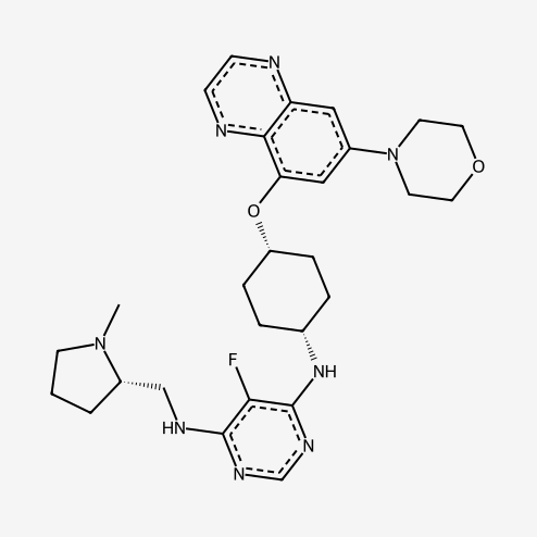 CN1CCC[C@H]1CNc1ncnc(N[C@H]2CC[C@@H](Oc3cc(N4CCOCC4)cc4nccnc34)CC2)c1F